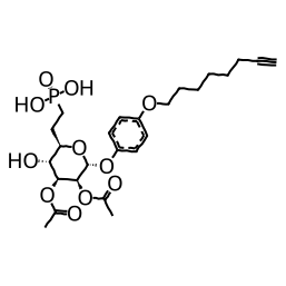 C#CCCCCCCOc1ccc(O[C@H]2O[C@H](CCP(=O)(O)O)[C@@H](O)[C@H](OC(C)=O)[C@@H]2OC(C)=O)cc1